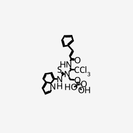 O=C(/C=C/c1ccccc1)NC(N(COP(=O)(O)O)C(=S)Nc1cccc2cccnc12)C(Cl)(Cl)Cl